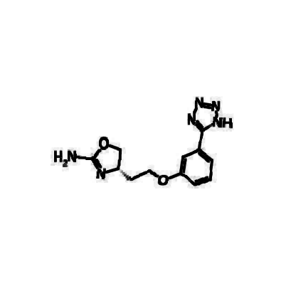 NC1=N[C@@H](CCOc2cccc(-c3nnn[nH]3)c2)CO1